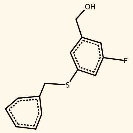 OCc1cc(F)cc(SCc2ccccc2)c1